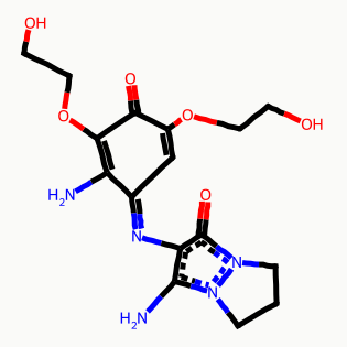 NC1=C(OCCO)C(=O)C(OCCO)=CC1=Nc1c(N)n2n(c1=O)CCC2